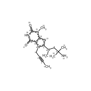 CC#CCn1c(N(C)CC(C)(C)N)nc2c1c(=O)[nH]c(=O)n2C